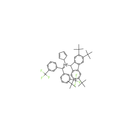 CC(C)(C)c1cc2c(cc1C(C)(C)C)[CH]([Hf](=[C](c1cccc(C(F)(F)F)c1)c1cccc(C(F)(F)F)c1)[CH]1C=CC=C1)c1cc(C(C)(C)C)c(C(C)(C)C)cc1-2